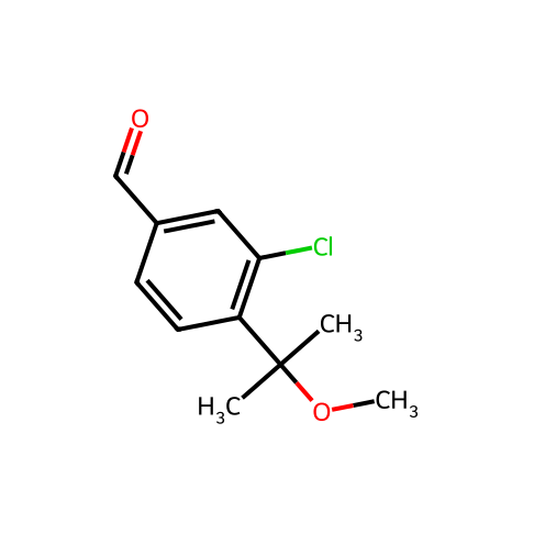 COC(C)(C)c1ccc(C=O)cc1Cl